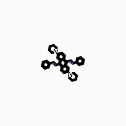 C(=C\c1c2ccc(N3CCCCC3)cc2c(/C=C/c2ccccc2)c2ccc(N3CCCCC3)cc12)/c1ccccc1